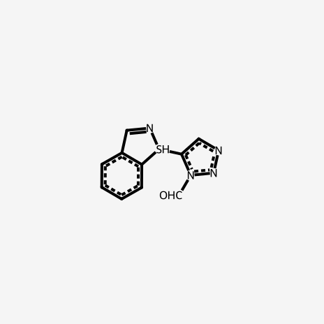 O=Cn1nncc1[SH]1N=Cc2ccccc21